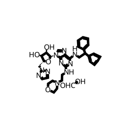 O=CO.O[C@@H]1[C@H](O)[C@@H](Cn2nccn2)O[C@H]1n1cnc2c(NCC(c3ccccc3)c3ccccc3)nc(NCCN3CCOCC3)nc21